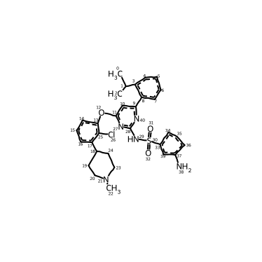 CC(C)c1ccccc1-c1cc(Oc2cccc(C3CCN(C)CC3)c2Cl)nc(NS(=O)(=O)c2cccc(N)c2)n1